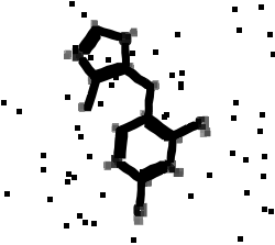 Cc1ncoc1Cc1cnc(Cl)nc1Cl